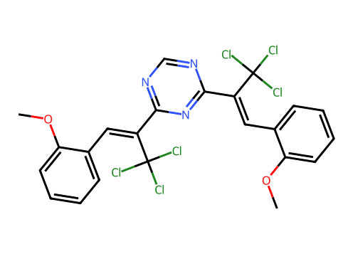 COc1ccccc1C=C(c1ncnc(C(=Cc2ccccc2OC)C(Cl)(Cl)Cl)n1)C(Cl)(Cl)Cl